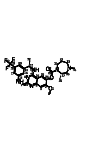 COc1cc2nc(C)nc(N[C@H](C)c3cc(N)cc(C(F)(F)F)c3)c2cc1OC(=O)N1CCCN(C)C[C@@H]1C